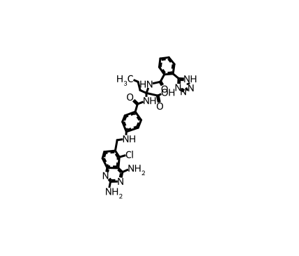 CCCC(NC(=O)c1ccc(NCc2ccc3nc(N)nc(N)c3c2Cl)cc1)(NC(=O)c1ccccc1-c1nnn[nH]1)C(=O)O